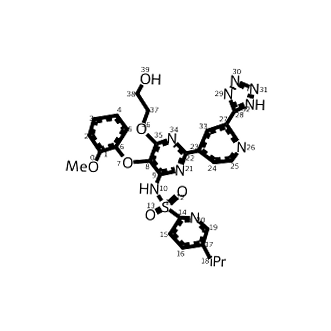 COc1ccccc1Oc1c(NS(=O)(=O)c2ccc(C(C)C)cn2)nc(-c2ccnc(-c3nnn[nH]3)c2)nc1OCCO